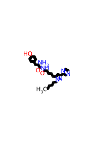 CCCCCCn1nc(-c2cnccn2)cc1CCCCC(=O)NC(=O)[C@@H](N)Cc1ccc(O)cc1